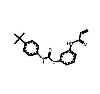 C=CC(=O)Nc1cccc(OC(=O)Nc2ccc(C(C)(C)C)cc2)c1